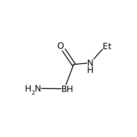 CCNC(=O)BN